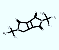 CC(C)(C)N1CC2C(C1=O)C1C(=O)N(C(C)(C)C)C(=O)C21